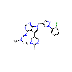 CN(C)C=Nc1ncnc2c1c(-c1cnc(C(F)(F)F)nc1)cn2Cc1cnn(-c2ccccc2F)c1